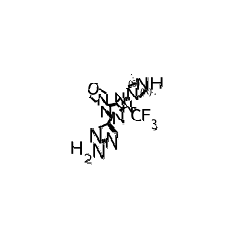 C[C@@H]1CN(c2nc3c(N4CCOCC4)nc(-c4cnc(N)nc4)nc3n2CC(F)(F)F)C[C@H](C)N1